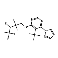 CC(C)(C)c1c(OCC(F)(F)C(F)C(F)(F)F)ncnc1-n1cncn1